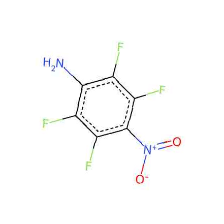 Nc1c(F)c(F)c([N+](=O)[O-])c(F)c1F